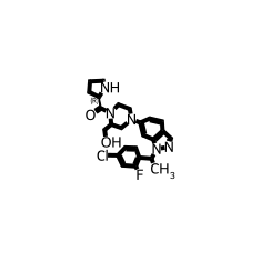 CC(c1ccc(Cl)cc1F)n1ncc2ccc(N3CCN(C(=O)[C@H]4CCCN4)C(CO)C3)cc21